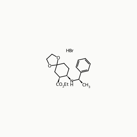 Br.CCOC(=O)[C@H]1CC2(CC[C@H]1N[C@H](C)c1ccccc1)OCCO2